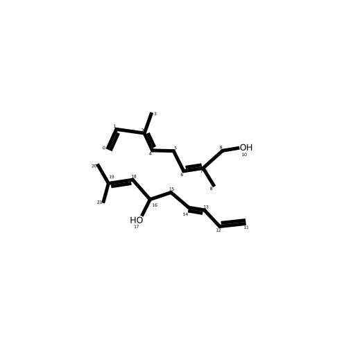 C=CC(C)=CCC=C(C)CO.C=CC=CCC(O)C=C(C)C